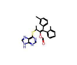 Cc1cccc(/C(=C(/OC=O)C(C)Sc2ncnc3[nH]cnc23)c2ccccc2C)c1